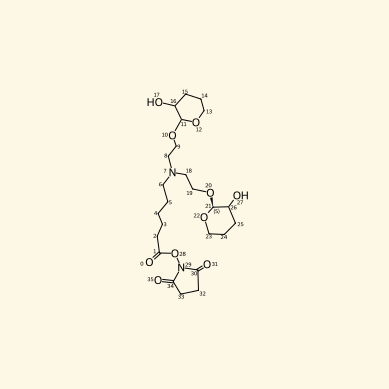 O=C(CCCCCN(CCOC1OCCCC1O)CCO[C@@H]1OCCCC1O)ON1C(=O)CCC1=O